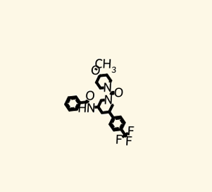 COC1CCN(C(=O)N2CC(NC(=O)c3ccccc3)CC(c3ccc(C(F)(F)F)cc3)C2)CC1